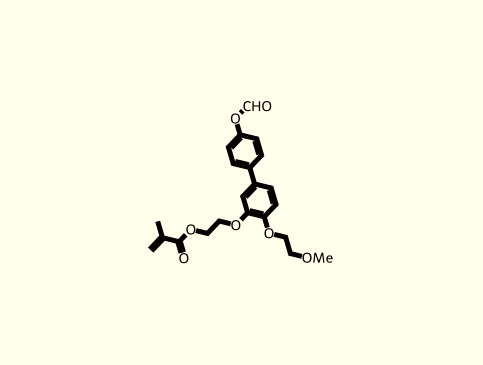 C=C(C)C(=O)OCCOc1cc(-c2ccc(OC=O)cc2)ccc1OCCOC